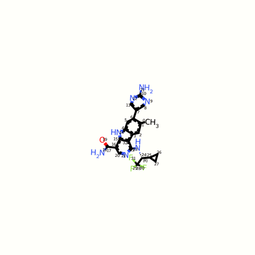 Cc1cc2c(cc1-c1cnc(N)nc1)[nH]c1c(C(N)=O)cnc(N[C@H](C3CC3)C(F)(F)F)c12